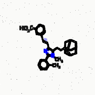 Cc1ccccc1-c1nc(/C=C/c2cccc(C(=O)O)c2)c(CCC23CC4CC(CC(C4)C2)C3)n1C